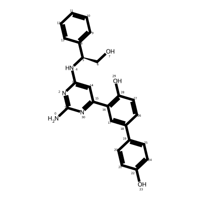 Nc1nc(N[C@H](CO)c2ccccc2)cc(-c2cc(-c3ccc(O)cc3)ccc2O)n1